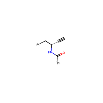 C#C[C@@H](CC(C)=O)NC(=O)C(C)C